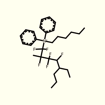 CCCCCC[N+](c1ccccc1)(c1ccccc1)C(F)(F)C(C)(F)C(F)(F)C(F)C(CC)CCC